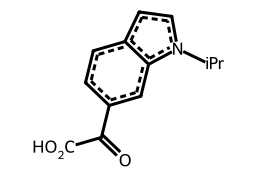 CC(C)n1ccc2ccc(C(=O)C(=O)O)cc21